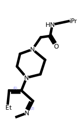 CC/C=C(\C=N/C)N1CCN(CC(=O)NC(C)C)CC1